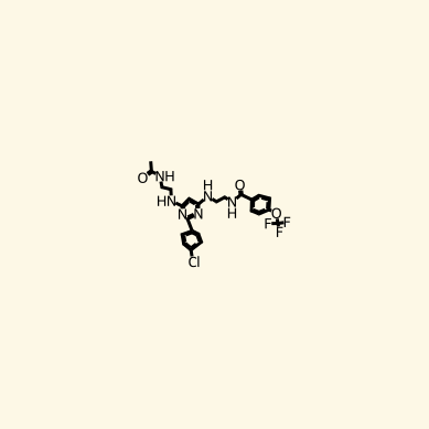 CC(=O)NCCNc1cc(NCCNC(=O)c2ccc(OC(F)(F)F)cc2)nc(-c2ccc(Cl)cc2)n1